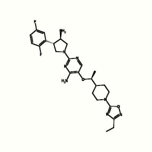 CCc1noc(N2CCC([C@H](C)Oc3cnc(N4C[C@H](c5cc(F)ccc5F)[C@@H](N)C4)nc3N)CC2)n1